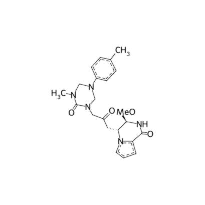 CO[C@H]1NC(=O)c2cccn2[C@@H]1CC(=O)CN1CN(c2ccc(C)cc2)CN(C)C1=O